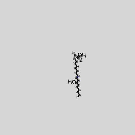 CCCCCCC(O)C/C=C/CCCCCCCN(C)C(=O)O